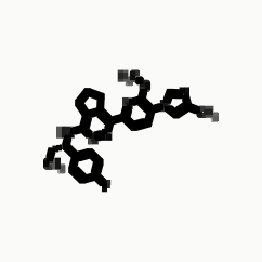 CC[C@H](Nc1nnc(-c2ccc(-n3cnc(C)c3)c(OC)n2)c2c1CCC2)c1ccc(F)cc1